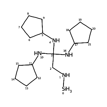 [SiH3]NCC(NC1CCCC1)(NC1CCCC1)NC1CCCC1